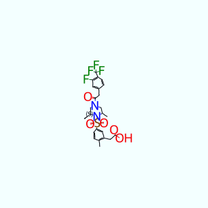 Cc1ccc(S(=O)(=O)N2C(C)CN(C(=O)Cc3ccc(C(F)(F)F)c(F)c3)C[C@@H]2C)cc1CC(=O)O